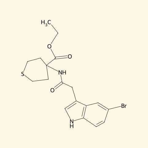 CCOC(=O)C1(NC(=O)Cc2c[nH]c3ccc(Br)cc23)CCSCC1